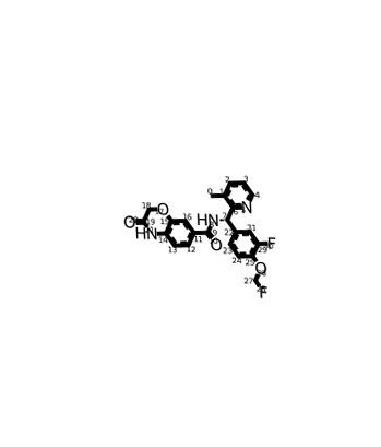 Cc1cccnc1[C@@H](NC(=O)c1ccc2c(c1)OCC(=O)N2)c1ccc(OCF)c(F)c1